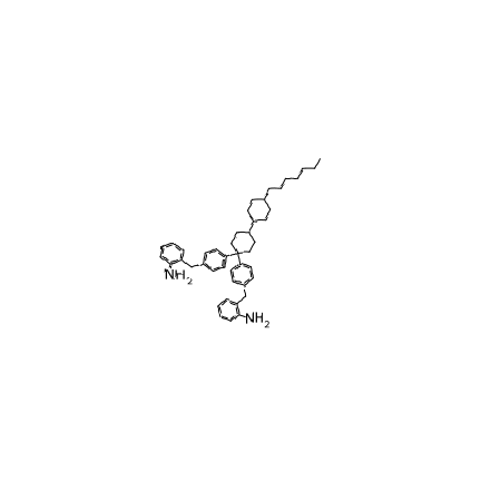 CCCCCCCC1CCC(C2CCC(c3ccc(Cc4ccccc4N)cc3)(c3ccc(Cc4ccccc4N)cc3)CC2)CC1